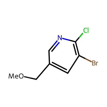 COCc1cnc(Cl)c(Br)c1